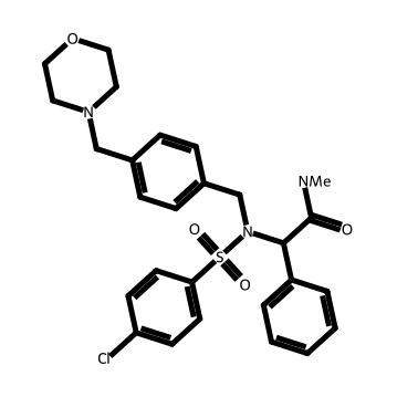 CNC(=O)C(c1ccccc1)N(Cc1ccc(CN2CCOCC2)cc1)S(=O)(=O)c1ccc(Cl)cc1